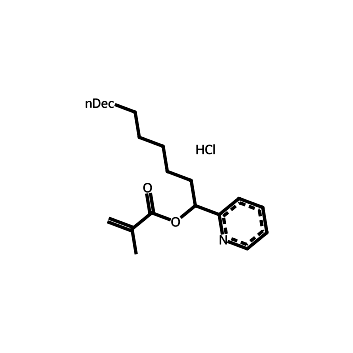 C=C(C)C(=O)OC(CCCCCCCCCCCCCCC)c1ccccn1.Cl